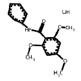 COc1cc(OC)c(C(=O)Pc2ccccc2)c(OC)c1.[LiH]